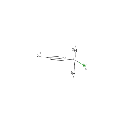 [2H]C#CC([2H])([2H])Br